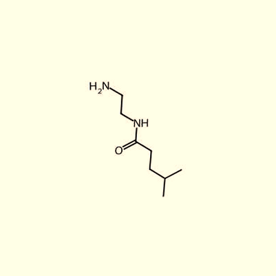 CC(C)CCC(=O)NCCN